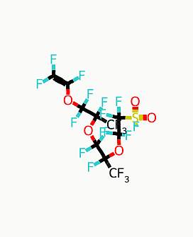 O=S(=O)(F)C(F)(F)C(F)(F)OC(F)(C(F)(F)F)C(F)(F)OC(F)(C(F)(F)F)C(F)(F)OC(F)=C(F)F